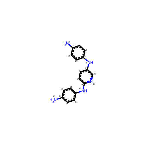 Nc1ccc(Nc2ccc(Nc3ccc(N)cc3)nc2)cc1